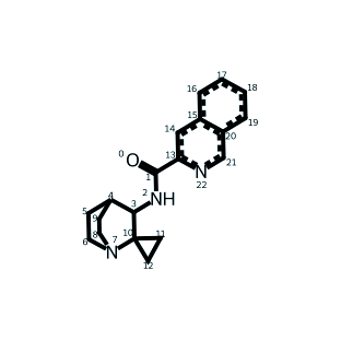 O=C(NC1C2CCN(CC2)C12CC2)c1cc2ccccc2cn1